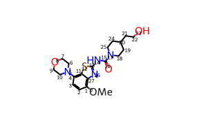 COc1ccc(N2CCOCC2)c2sc(NC(=O)N3CCC(CCO)CC3)nc12